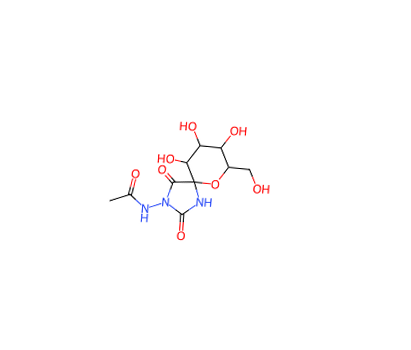 CC(=O)NN1C(=O)NC2(OC(CO)C(O)C(O)C2O)C1=O